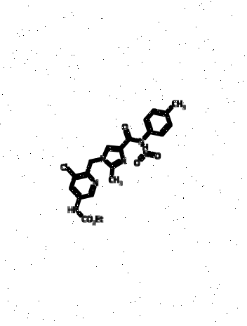 CCOC(=O)Nc1cnc(Cn2cc(C(=O)N(c3ccc(C)cc3)[SH](=O)=O)nc2C)c(Cl)c1